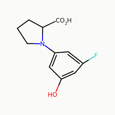 O=C(O)C1CCCN1c1cc(O)cc(F)c1